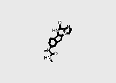 CNC(=O)N(C)c1ccc2c(c1)Cc1c-2[nH]c(=O)c2nccn12